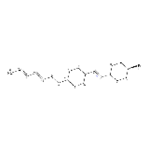 CCC[C@H]1CC[C@H](/C=C/C2CCC(CCC=CC=CC#N)CC2)CC1